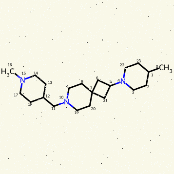 CC1CCN(C2CC3(CCN(CC4CCN(C)CC4)CC3)C2)CC1